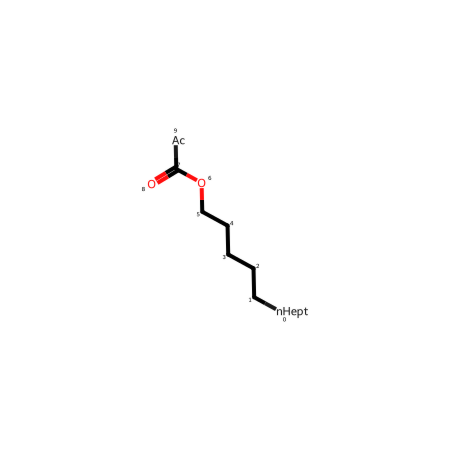 CCCCCCCCCCCCOC(=O)C(C)=O